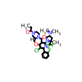 C=CC(=O)N1CCN2C(=O)c3c(N4C[C@H](N(C)C)CC4(C)C(F)(F)F)nc(-c4ccccc4F)c(Cl)c3OC[C@H]2C1